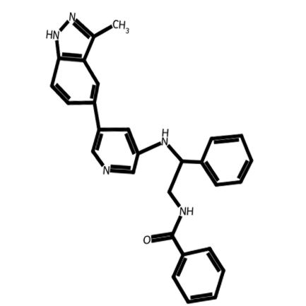 Cc1n[nH]c2ccc(-c3cncc(NC(CNC(=O)c4ccccc4)c4ccccc4)c3)cc12